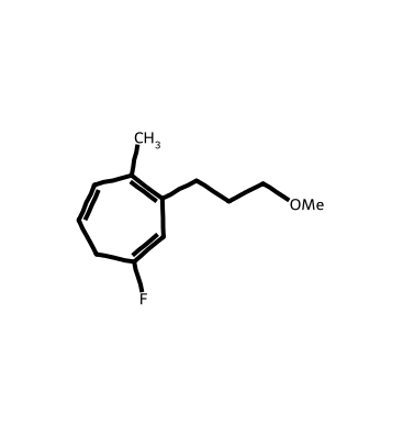 COCCCC1=C(C)C=CCC(F)=C1